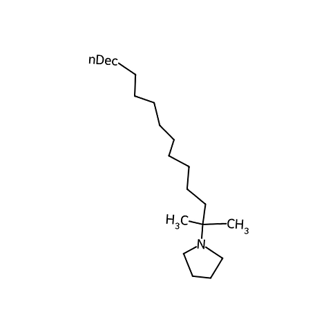 CCCCCCCCCCCCCCCCCCCC(C)(C)N1CCCC1